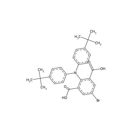 CC(C)(C)c1ccc(N(c2ccc(C(C)(C)C)cc2)c2c(C(=O)O)cc(Br)cc2C(=O)O)cc1